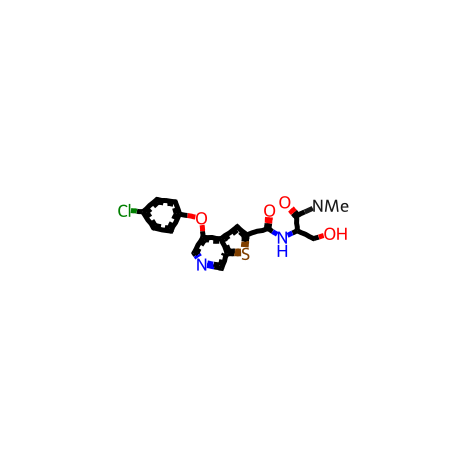 CNC(=O)C(CO)NC(=O)c1cc2c(Oc3ccc(Cl)cc3)cncc2s1